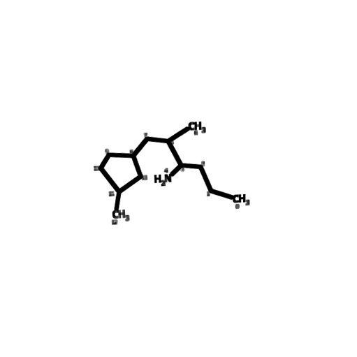 CCCC(N)C(C)CC1CCC(C)C1